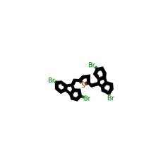 Brc1ccc2c(c1)C(=Cc1ccc(C=C3c4cc(Br)ccc4-c4ccc(Br)cc43)s1)c1cc(Br)ccc1-2